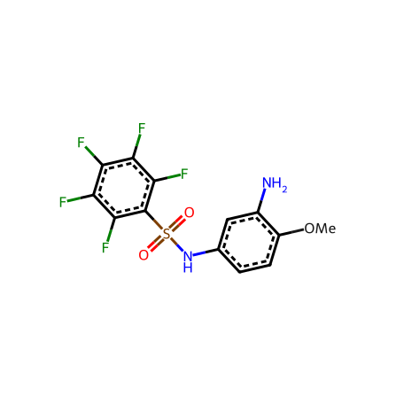 COc1ccc(NS(=O)(=O)c2c(F)c(F)c(F)c(F)c2F)cc1N